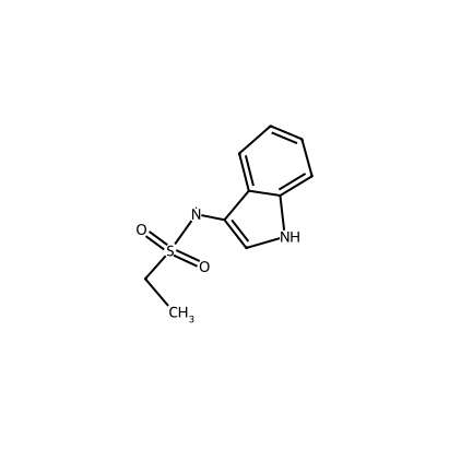 CCS(=O)(=O)[N]c1c[nH]c2ccccc12